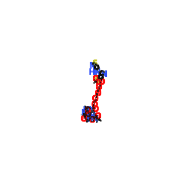 CC(C)[C@@H](C)NC(=O)[C@@H]1CC(NC(=O)COCCOCCOCCOCCOc2cc3nccc(Nc4ccc5scnc5c4)c3cc2S(=O)(=O)C(C)(C)C)CN1C(=O)[C@@H](NC(=O)[C@H](C)N(C)C(=O)OC(C)(C)C)C(C)(C)C